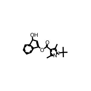 Cc1nn(C(C)(C)C)c(C)c1C(=O)OC1=CC(O)c2ccccc21